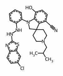 CC(C)CN1CCC2(CC1)CN(c1ccccc1NNc1nc3ccc(Cl)cc3s1)c1c(O)ccc(C#N)c12